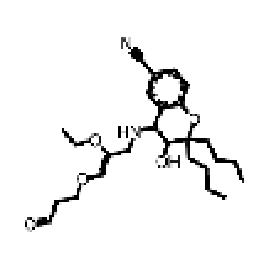 CCCCC1(CCCC)Oc2ccc(C#N)cc2C(NC/C(=C/OCCC=O)OCC)C1O